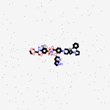 CC(C)c1ccccc1[C@@H]1CCCN1C1CC2(CCN(c3ccc(C(=O)NS(=O)(=O)c4cc5c(c([N+](=O)[O-])c4)N[C@H]([C@H]4COCCO4)CO5)c(Oc4cnc5[nH]ccc5c4)c3)CC2)C1